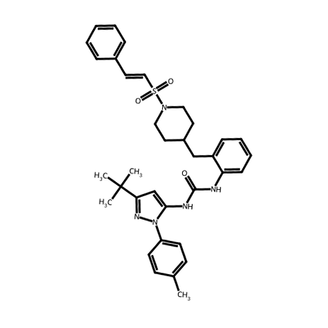 Cc1ccc(-n2nc(C(C)(C)C)cc2NC(=O)Nc2ccccc2CC2CCN(S(=O)(=O)C=Cc3ccccc3)CC2)cc1